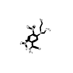 [CH2]CN(CCBr)c1cc(C(N)=O)c([N+](=O)[O-])cc1[N+](=O)[O-]